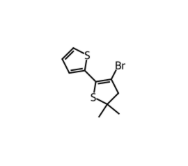 CC1(C)CC(Br)=C(c2cccs2)S1